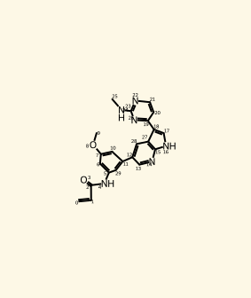 C=CC(=O)Nc1cc(OC)cc(-c2cnc3[nH]cc(-c4ccnc(NC)n4)c3c2)c1